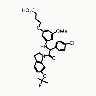 COc1cc(NC(C(=O)N2CCc3ccc(OC(C)(C)F)cc32)c2ccc(Cl)cc2)cc(OCCCC(=O)O)c1